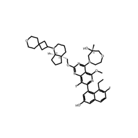 CCc1c(F)ccc2cc(O)cc(-c3nc(OC)c4c(N5CCOC[C@@](C)(O)C5)nc(OC[C@]56CCC[C@H]5N(C5CC7(CCOCC7)C5)CCC6)nc4c3F)c12